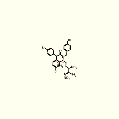 NC(=O)[C@H](CCC(N)C(N)=N[N+](=O)[O-])N(Cc1ccc(O)cc1)C(=O)C(c1ccc(Br)cc1)c1ccc(Br)cc1